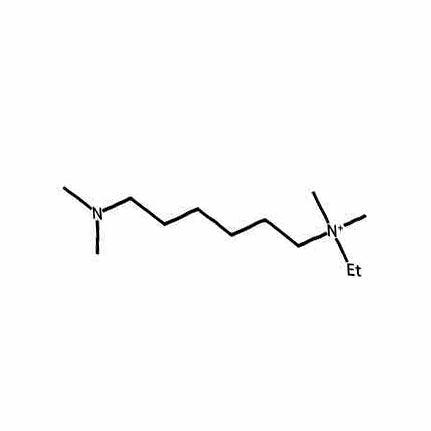 CC[N+](C)(C)CCCCCCN(C)C